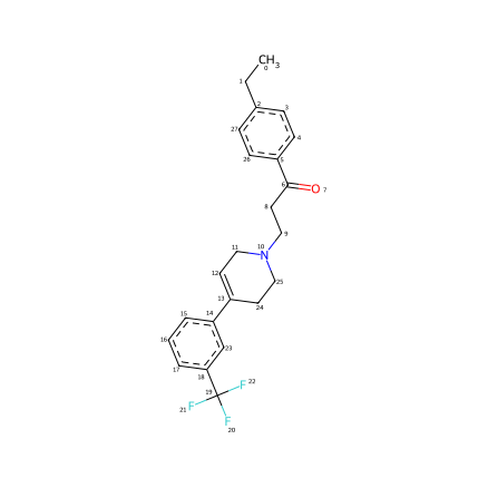 CCc1ccc(C(=O)CCN2CC=C(c3cccc(C(F)(F)F)c3)CC2)cc1